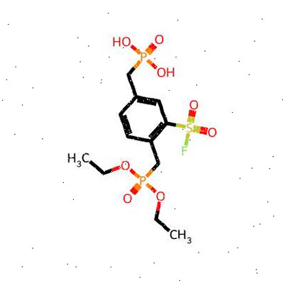 CCOP(=O)(Cc1ccc(CP(=O)(O)O)cc1S(=O)(=O)F)OCC